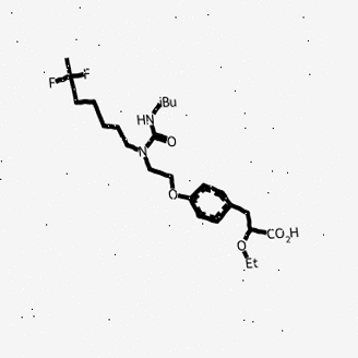 CCOC(Cc1ccc(OCCN(CCCCCC(C)(F)F)C(=O)NC(C)CC)cc1)C(=O)O